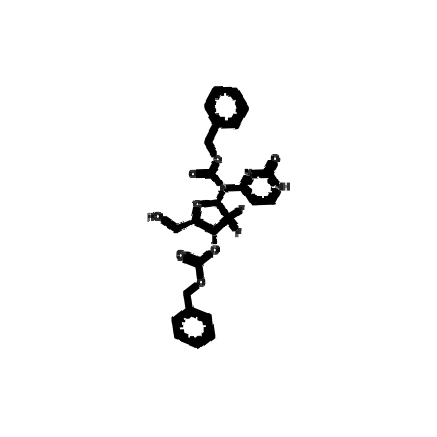 O=C(OCc1ccccc1)O[C@@H]1[C@@H](CO)O[C@@H](N(C(=O)OCc2ccccc2)c2cc[nH]c(=O)n2)C1(F)F